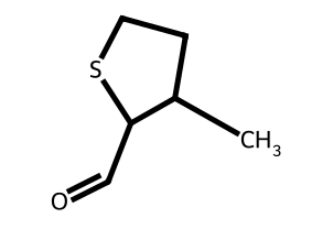 CC1CCSC1C=O